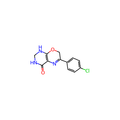 O=C1NCNC2=C1N=C(c1ccc(Cl)cc1)CO2